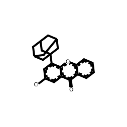 O=c1c2ccccc2oc2c(C34CC5CC(CC(C5)C3)C4)cc(Cl)cc12